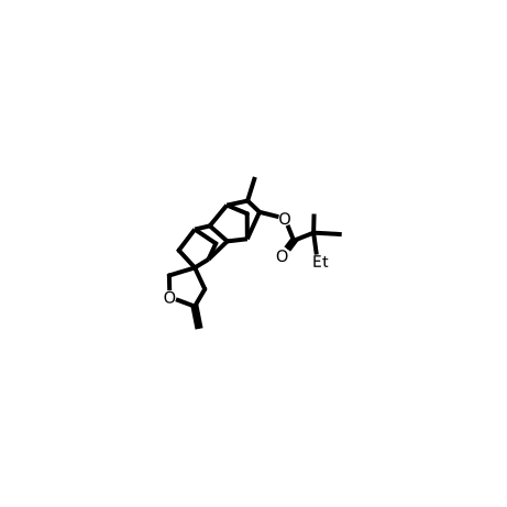 C=C1CC2(CO1)CC1CC2C2C3CC(C(C)C3OC(=O)C(C)(C)CC)C12